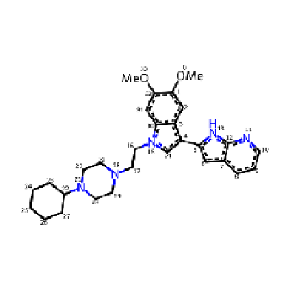 COc1cc2c(-c3cc4cccnc4[nH]3)cn(CCN3CCN(C4CCCCC4)CC3)c2cc1OC